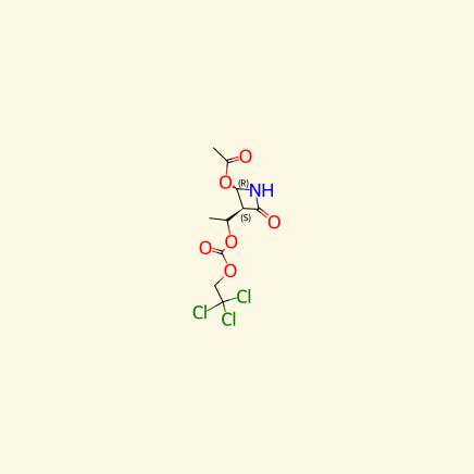 CC(=O)O[C@H]1NC(=O)[C@H]1C(C)OC(=O)OCC(Cl)(Cl)Cl